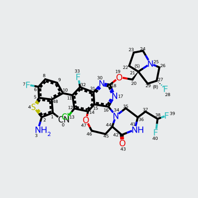 N#Cc1c(N)sc2c(F)ccc(-c3c(Cl)c4c5c(nc(OC[C@@]67CCCN6C[C@H](F)C7)nc5c3F)N3CC(CC(F)F)NC(=O)C3CCO4)c12